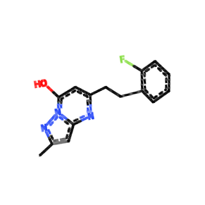 Cc1cc2nc(CCc3ccccc3F)cc(O)n2n1